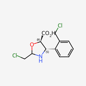 O=C(O)[C@@H]1OC(CCl)N[C@H]1c1ccccc1CCl